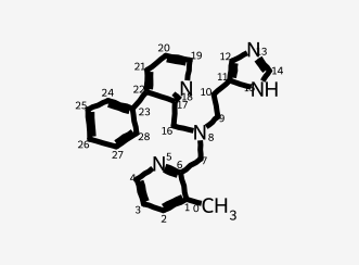 Cc1cccnc1CN(CCc1cnc[nH]1)Cc1ncccc1-c1ccccc1